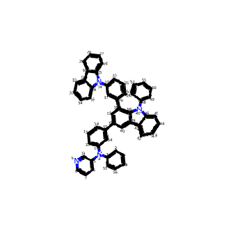 c1ccc(N(c2cccnc2)c2cccc(-c3cc(-c4cccc(-n5c6ccccc6c6ccccc65)c4)c4c(c3)c3ccccc3n4-c3ccccc3)c2)cc1